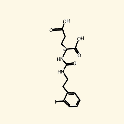 O=C(O)CC[C@H](NC(=O)NCCc1ccccc1I)C(=O)O